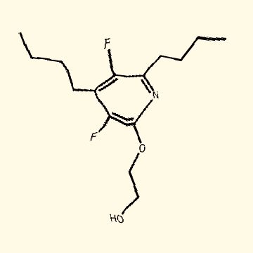 CCCCc1nc(OCCO)c(F)c(CCCC)c1F